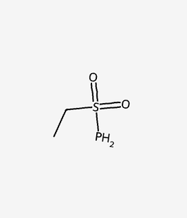 CCS(=O)(=O)P